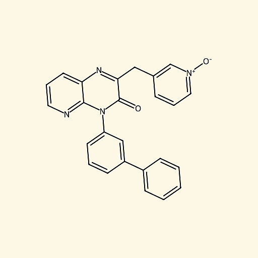 O=c1c(Cc2ccc[n+]([O-])c2)nc2cccnc2n1-c1cccc(-c2ccccc2)c1